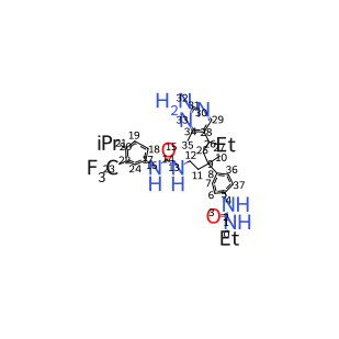 CCNC(=O)Nc1ccc(C(C)(CCNC(=O)Nc2ccc(C(C)C)c(C(F)(F)F)c2)CC(CC)c2cnc(N)nc2C)cc1